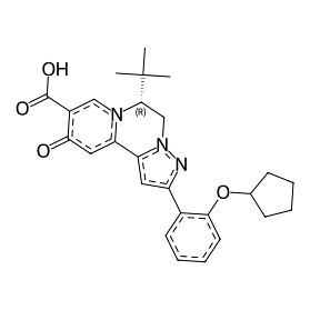 CC(C)(C)[C@@H]1Cn2nc(-c3ccccc3OC3CCCC3)cc2-c2cc(=O)c(C(=O)O)cn21